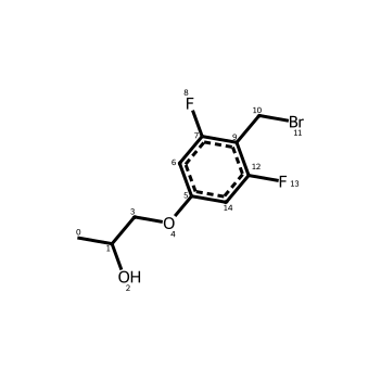 CC(O)COc1cc(F)c(CBr)c(F)c1